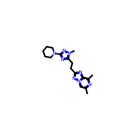 Cc1cn2nc(CCc3nc(N4CCCCC4)nn3C)nc2c(C)n1